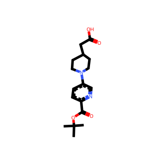 CC(C)(C)OC(=O)c1ccc(N2CCC(CC(=O)O)CC2)cn1